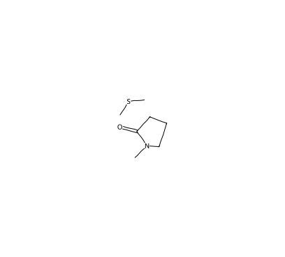 CN1CCCC1=O.CSC